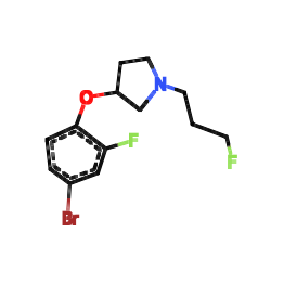 FCCCN1CCC(Oc2ccc(Br)cc2F)C1